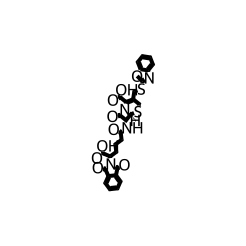 O=C(CCCC(C(=O)O)N1C(=O)c2ccccc2C1=O)N[C@@H]1C(=O)N2C(C(=O)O)=C(CSc3nc4ccccc4o3)CS[C@@H]12